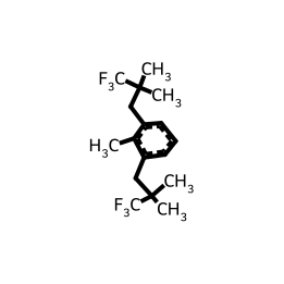 Cc1c(CC(C)(C)C(F)(F)F)cccc1CC(C)(C)C(F)(F)F